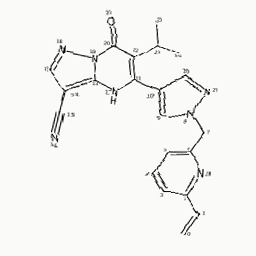 C=Cc1cccc(Cn2cc(-c3[nH]c4c(C#N)cnn4c(=O)c3C(C)C)cn2)n1